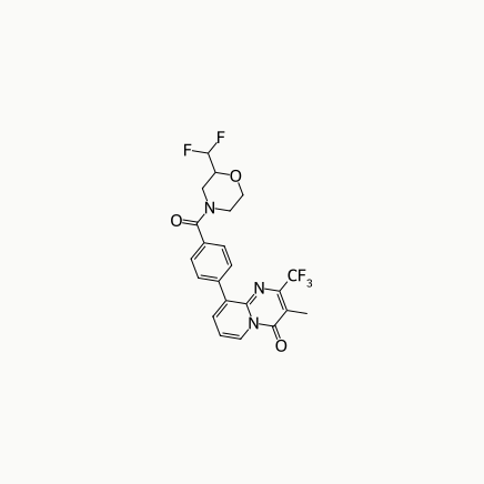 Cc1c(C(F)(F)F)nc2c(-c3ccc(C(=O)N4CCOC(C(F)F)C4)cc3)cccn2c1=O